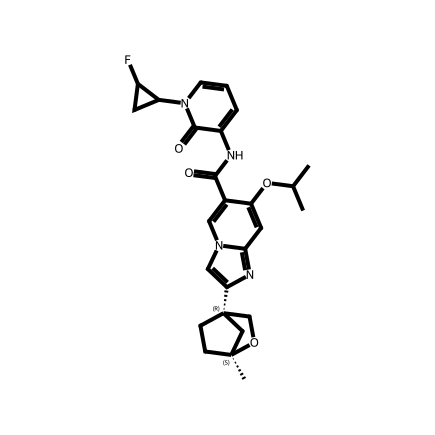 CC(C)Oc1cc2nc([C@@]34CC[C@@](C)(C3)OC4)cn2cc1C(=O)Nc1cccn(C2CC2F)c1=O